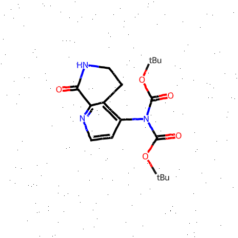 CC(C)(C)OC(=O)N(C(=O)OC(C)(C)C)c1ccnc2c1CCNC2=O